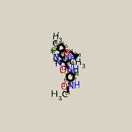 CCC(=O)N[C@H]1CC[C@@H](NC(=O)c2c(C)[nH]c3c(-c4c(OCC5CC5)ccc(C)c4F)ncnc23)[C@H](F)C1